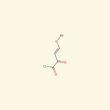 CCO/C=C/C(=O)C(=O)Cl